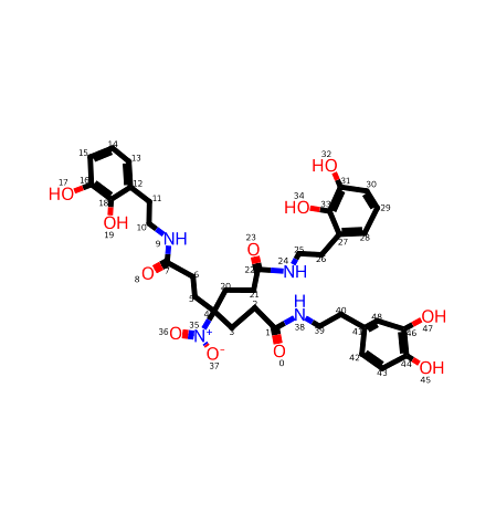 O=C(CCC(CCC(=O)NCCc1cccc(O)c1O)(CCC(=O)NCCc1cccc(O)c1O)[N+](=O)[O-])NCCc1ccc(O)c(O)c1